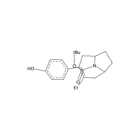 CCC1=C(c2ccc(O)cc2)CC2CCC(C1)N2C(=O)OC(C)(C)C